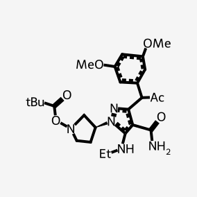 CCNc1c(C(N)=O)c(C(C(C)=O)c2cc(OC)cc(OC)c2)nn1[C@H]1CCN(OC(=O)C(C)(C)C)C1